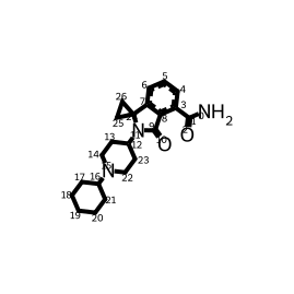 NC(=O)c1cccc2c1C(=O)N(C1CCN(C3CCCCC3)CC1)C21CC1